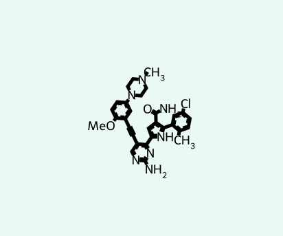 COc1ccc(N2CCN(C)CC2)cc1C#Cc1cnc(N)nc1-c1cc(C(N)=O)c(-c2cc(Cl)ccc2C)[nH]1